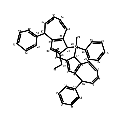 CCC1=CC2=C(C=CC=CC2c2ccccc2)C1[Si](C)(c1ccccc1)C1C(CC)=CC2=C1C=CC=CC2c1ccccc1